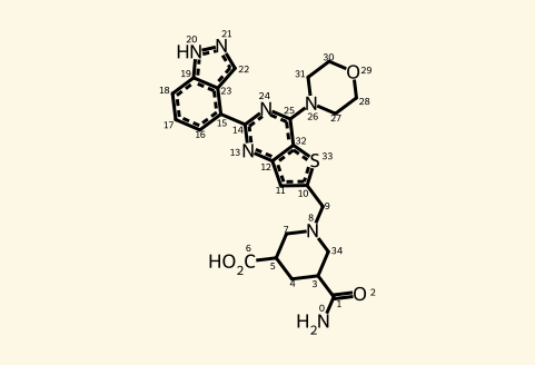 NC(=O)C1CC(C(=O)O)CN(Cc2cc3nc(-c4cccc5[nH]ncc45)nc(N4CCOCC4)c3s2)C1